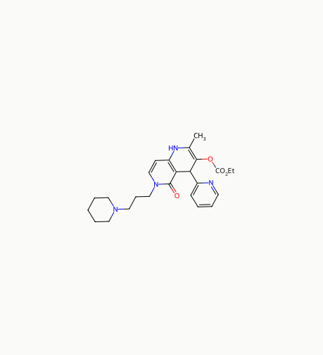 CCOC(=O)OC1=C(C)Nc2ccn(CCCN3CCCCC3)c(=O)c2C1c1ccccn1